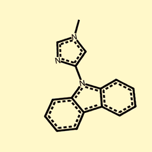 Cn1cnc(-n2c3ccccc3c3ccccc32)c1